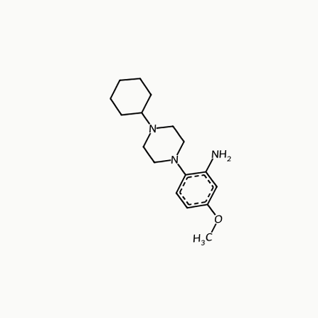 COc1ccc(N2CCN(C3CCCCC3)CC2)c(N)c1